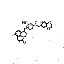 Cl.O=c1ccc2c(F)ccc3c2n1CCC3CN1CCC(NCc2cc3c(cn2)OCCO3)CC1